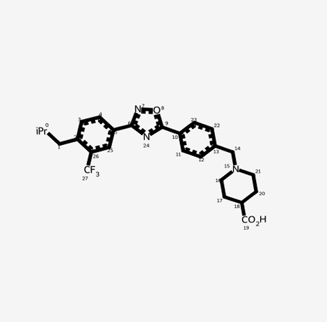 CC(C)Cc1ccc(-c2noc(-c3ccc(CN4CCC(C(=O)O)CC4)cc3)n2)cc1C(F)(F)F